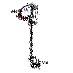 COc1cccc2cc(-c3nc([C@H]4CC[C@H](C(=O)NCCOCCOCCOCCOCCOCCOCCOCCOCCOCCNC(=O)O[C@@H]5CC[C@@H](C[C@@H](N)[C@@H]6CC[C@H](C)/C=C(\C)[C@@H](O)[C@@H](O)C(=O)[C@H](C)C[C@H](C)/C=C/C=C/C=C(\C)[C@@H](OC)C[C@@H]7CC[C@@H](C)[C@@](O)(O7)C(=O)C(=O)N7CCCC[C@H]7C(=O)O6)C[C@H]5OC)CC4)n4ncnc(N)c34)[nH]c12